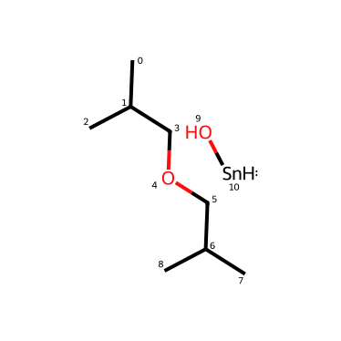 CC(C)COCC(C)C.[OH][SnH]